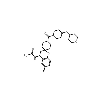 O=C(C1CCN(CC2CCOCC2)CC1)N1CCC2(CC1)CC(NC(=O)C(F)(F)F)c1cc(F)ccc1O2